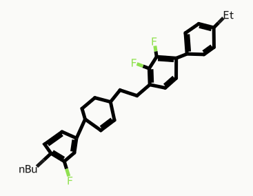 CCCCc1ccc(C2C=CC(CCc3ccc(-c4ccc(CC)cc4)c(F)c3F)CC2)cc1F